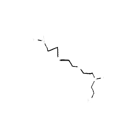 CCNCCOCCOCCN(CC)CCO